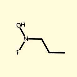 CCCN(O)F